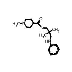 CN1CCC(C(=O)NCC(C)(C)CNc2ccccc2)CC1